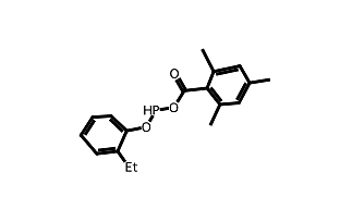 CCc1ccccc1OPOC(=O)c1c(C)cc(C)cc1C